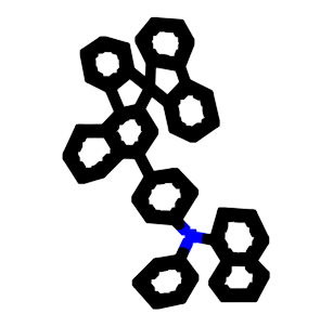 c1ccc(N(c2ccc(-c3cc4c(c5ccccc35)-c3ccccc3C43c4ccccc4-c4ccccc43)cc2)c2cccc3ccccc23)cc1